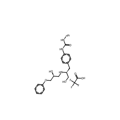 CCCNC(=O)Nc1ccc(C[C@@H](CO)NC[C@H](O)COc2ccccc2)cc1.O=C(O)C(F)(F)F